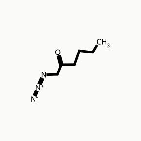 CCCCC(=O)CN=[N+]=[N-]